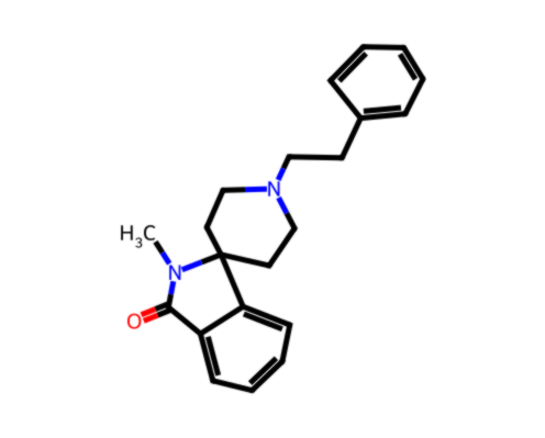 CN1C(=O)c2ccccc2C12CCN(CCc1ccccc1)CC2